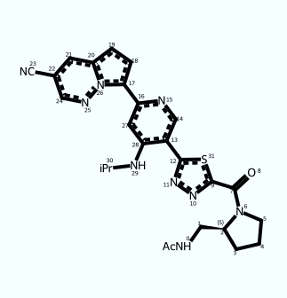 CC(=O)NC[C@@H]1CCCN1C(=O)c1nnc(-c2cnc(-c3ccc4cc(C#N)cnn34)cc2NC(C)C)s1